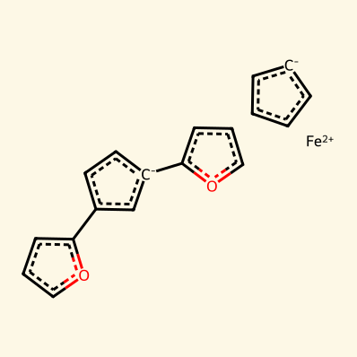 [Fe+2].c1cc[cH-]c1.c1coc(-c2cc[c-](-c3ccco3)c2)c1